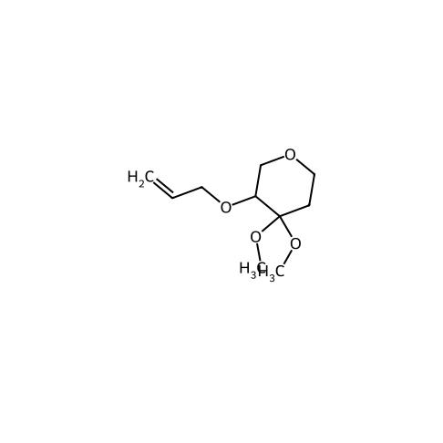 C=CCOC1COCCC1(OC)OC